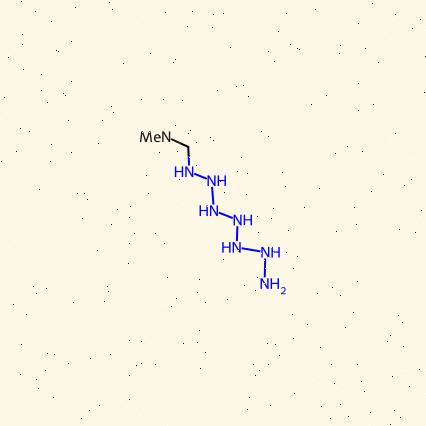 CNCNNNNNNN